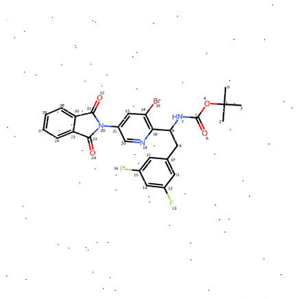 CC(C)(C)OC(=O)NC(Cc1cc(F)cc(F)c1)c1ncc(N2C(=O)c3ccccc3C2=O)cc1Br